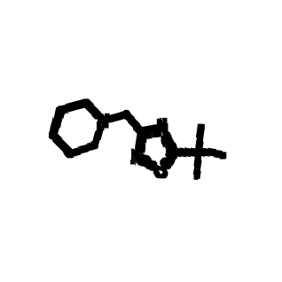 CC(C)(C)c1nc(CN2CCCCC2)no1